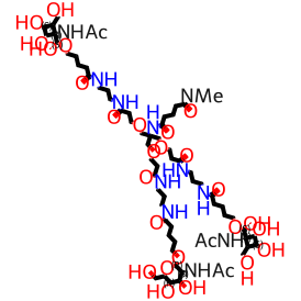 CNC(=O)CCCC(=O)NC(COCCC(=O)NCCCNC(=O)CCCCO[C@@H]1OC(CO)[C@H](O)C(O)[C@@H]1NC(C)=O)(COCCC(=O)NCCCNC(=O)CCCCO[C@H](O)[C@@]1(NC(C)=O)C(O)[C@@H](O)C1CO)COCCC(=O)NCCCNC(=O)CCCCO[C@H](O)[C@@]1(NC(C)=O)C(O)[C@@H](O)C1CO